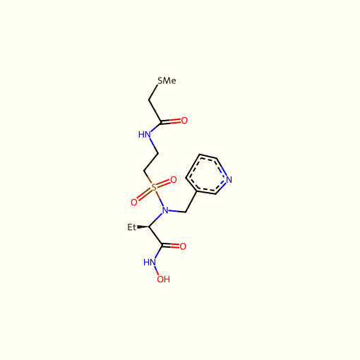 CC[C@H](C(=O)NO)N(Cc1cccnc1)S(=O)(=O)CCNC(=O)CSC